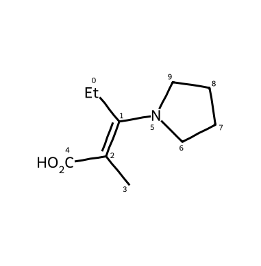 CCC(=C(C)C(=O)O)N1CCCC1